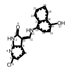 O=C1Nc2nc(Cl)ccc2/C1=C/Nc1ccc(O)c2ccccc12